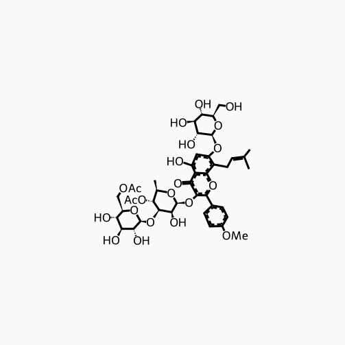 COc1ccc(-c2oc3c(CC=C(C)C)c(O[C@@H]4O[C@H](CO)[C@@H](O)[C@H](O)[C@H]4O)cc(O)c3c(=O)c2O[C@@H]2O[C@H](C)[C@@H](OC(C)=O)[C@H](O[C@@H]3O[C@H](COC(C)=O)[C@@H](O)[C@H](O)[C@H]3O)[C@@H]2O)cc1